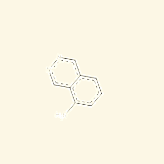 Nc1cccc2cnncc12